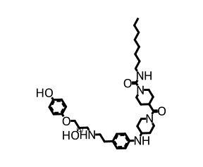 CCCCCCCCNC(=O)N1CCC(C(=O)N2CCC(Nc3ccc(CCNC[C@H](O)COc4ccc(O)cc4)cc3)CC2)CC1